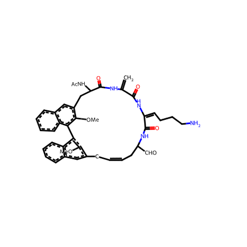 C=C1NC(=O)C(NC(C)=O)Cc2cc3ccccc3c(c2OC)-c2c(OC)c(cc3ccccc23)CC=CCC(C=O)NC(=O)/C(=C\CCCN)NC1=O